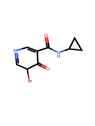 O=C(NC1CC1)C1=CN=CC(Br)C1=O